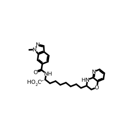 Cn1ncc2ccc(C(=O)N[C@H](CCCCCCCC3COc4cccnc4N3)C(=O)O)cc21